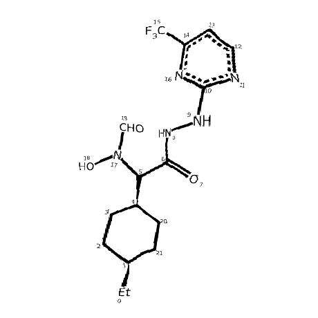 CC[C@H]1CC[C@@H](C(C(=O)NNc2nccc(C(F)(F)F)n2)N(O)C=O)CC1